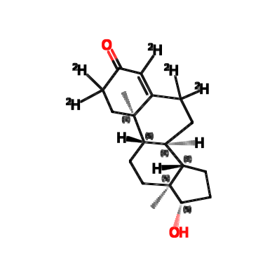 [2H]C1=C2C([2H])([2H])C[C@H]3[C@@H]4CC[C@H](O)[C@@]4(C)CC[C@@H]3[C@@]2(C)CC([2H])([2H])C1=O